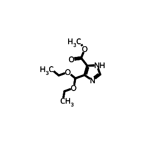 CCOC(OCC)c1nc[nH]c1C(=O)OC